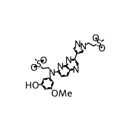 COc1cc(O)cc(N(CCS(C)(=O)=O)c2ccc3ncc(-c4cnn(CCS(C)(=O)=O)c4)nc3n2)c1